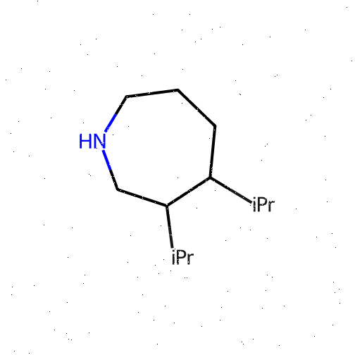 CC(C)C1CCCNCC1C(C)C